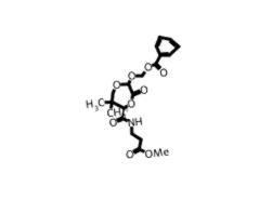 COC(=O)CCNC(=O)[C@@H]1OC(=O)C(OCOC(=O)c2ccccc2)OCC1(C)C